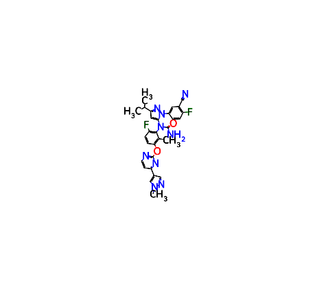 Cc1c(Oc2nccc(-c3cnn(C)c3)n2)ccc(F)c1N(C(N)=O)c1cc(C(C)C)nn1-c1ccc(F)c(C#N)c1